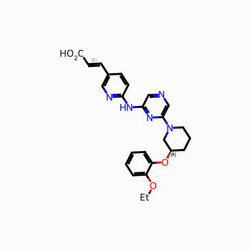 CCOc1ccccc1O[C@@H]1CCCN(c2cncc(Nc3ccc(/C=C/C(=O)O)cn3)n2)C1